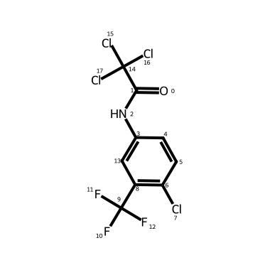 O=C(Nc1ccc(Cl)c(C(F)(F)F)c1)C(Cl)(Cl)Cl